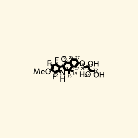 COc1c(F)c(F)c2c3c([nH]c2c1F)C(C)(C)c1cc(OC[C@@H](O)[C@H](O)CO)ccc1C3=O